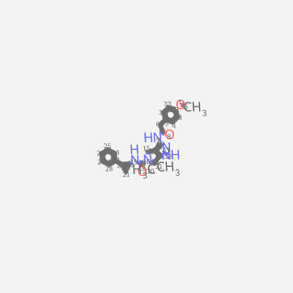 COc1ccc(CC(=O)Nc2n[nH]c3c2CN(C(=O)NC2CC2c2ccccc2)C3(C)C)cc1